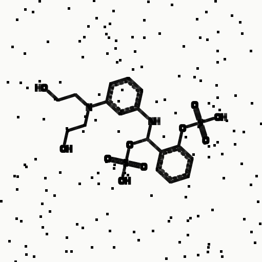 O=S(=O)(O)Oc1ccccc1C(Nc1cccc(N(CCO)CCO)c1)OS(=O)(=O)O